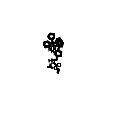 CCOC(=O)[C@H](CC(C)C)NCc1ccc(-c2ccccc2C2(C(c3ccccc3)(c3ccccc3)c3ccccc3)N=NN=N2)cc1